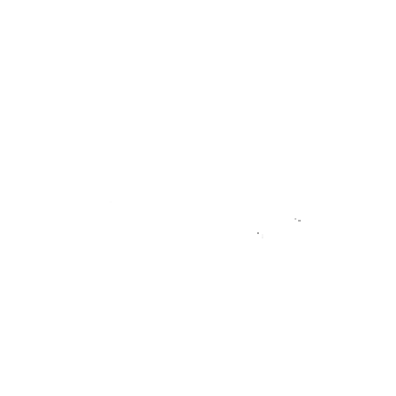 CC1CCCN1C(C)c1cc2cc(-c3cn(C)cn3)ccc2o1